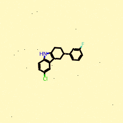 Fc1cccc(C2CCc3[nH]c4ccc(Cl)cc4c3C2)c1